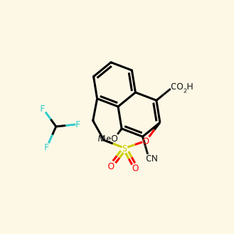 COc1c(C#N)c2c(C(=O)O)c3cccc(c13)CCS(=O)(=O)O2.FC(F)F